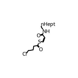 CCCCCCCCNC(=O)/C=C\SC(=O)CCCCl